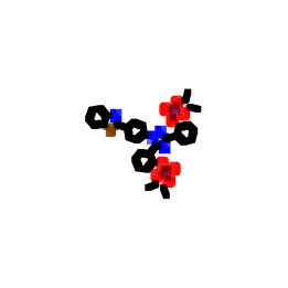 CCOP(=O)(OCC)Oc1ccccc1-c1nc(-c2ccccc2OP(=O)(OCC)OCC)n(-c2ccc(-c3nc4ccccc4s3)cc2)n1